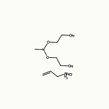 C=CCN.CN(OCCO)OCCO.Cl